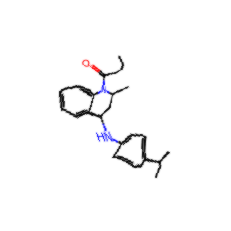 CCC(=O)N1c2ccccc2C(Nc2ccc(C(C)C)cc2)CC1C